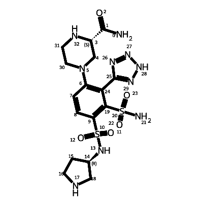 NC(=O)[C@@H]1CN(c2ccc(S(=O)(=O)N[C@@H]3CCNC3)c(S(N)(=O)=O)c2-c2nn[nH]n2)CCN1